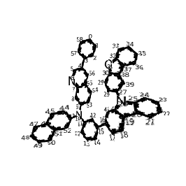 c1ccc(-c2cnc3cc(N(c4cccc(-c5ccc6c7ccccc7n(-c7ccc8oc9ccccc9c8c7)c6c5)c4)c4ccc5ccccc5c4)ccc3c2)cc1